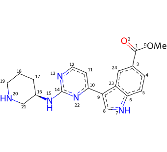 COC(=O)c1ccc2[nH]cc(-c3ccnc(N[C@@H]4CCCNC4)n3)c2c1